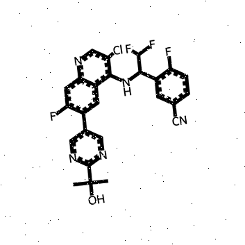 CC(C)(O)c1ncc(-c2cc3c(NC(c4cc(C#N)ccc4F)C(F)F)c(Cl)cnc3cc2F)cn1